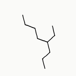 [CH2]CC[C](CC)CCCC